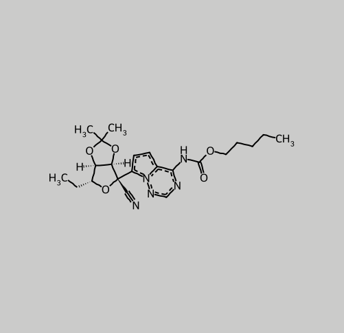 CCCCCOC(=O)Nc1ncnn2c([C@]3(C#N)O[C@H](CC)[C@H]4OC(C)(C)O[C@H]43)ccc12